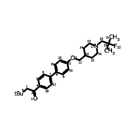 CC(C)(C)CC(=O)c1ccc(-c2ccc(OCC3CCN(CC(C)(C)F)CC3)cc2)cc1